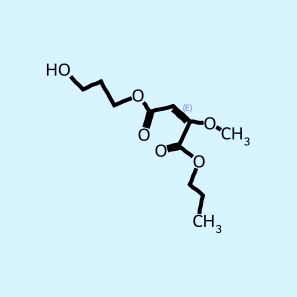 CCCOC(=O)/C(=C\C(=O)OCCCO)OC